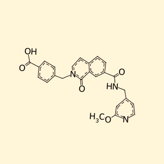 COc1cc(CNC(=O)c2ccc3ccn(Cc4ccc(C(=O)O)cc4)c(=O)c3c2)ccn1